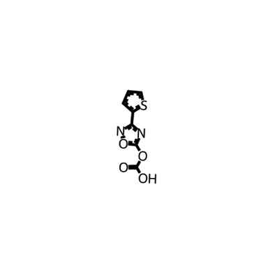 O=C(O)Oc1nc(-c2cccs2)no1